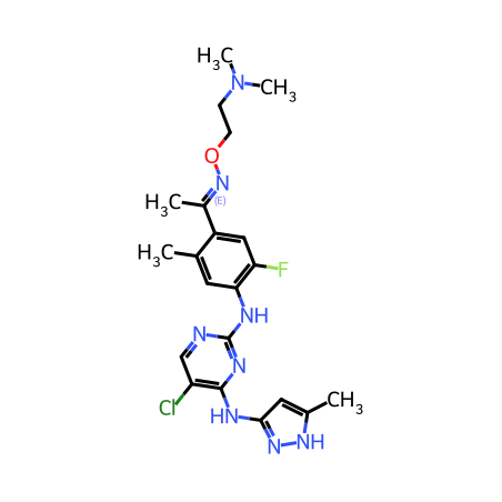 C/C(=N\OCCN(C)C)c1cc(F)c(Nc2ncc(Cl)c(Nc3cc(C)[nH]n3)n2)cc1C